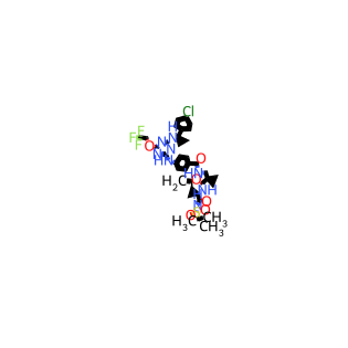 C=C[C@@H]1C[C@]1(NC(=O)C1(CNC(=O)c2ccc(Nc3nc(NC4(c5ccc(Cl)cc5)CC4)nc(OCC(F)(F)F)n3)cc2)CC1)C(=O)NS(=O)(=O)C(C)(C)C